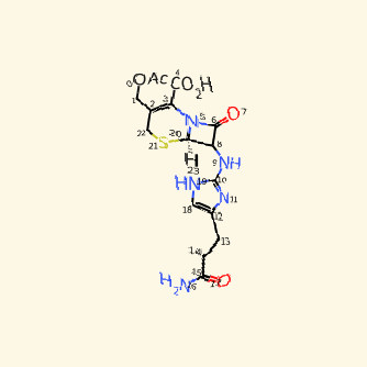 CC(=O)OCC1=C(C(=O)O)N2C(=O)C(Nc3nc(CCC(N)=O)c[nH]3)[C@H]2SC1